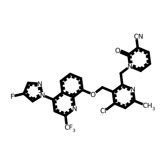 Cc1cc(Cl)c(COc2cccc3c(-n4cc(F)cn4)cc(C(F)(F)F)nc23)c(Cn2cccc(C#N)c2=O)n1